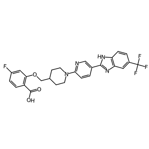 O=C(O)c1ccc(F)cc1OCC1CCN(c2ccc(-c3nc4cc(C(F)(F)F)ccc4[nH]3)cn2)CC1